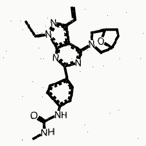 C=Cc1nn(CC)c2nc(-c3ccc(NC(=O)NC)cc3)nc(N3CC4CCC(C3)O4)c12